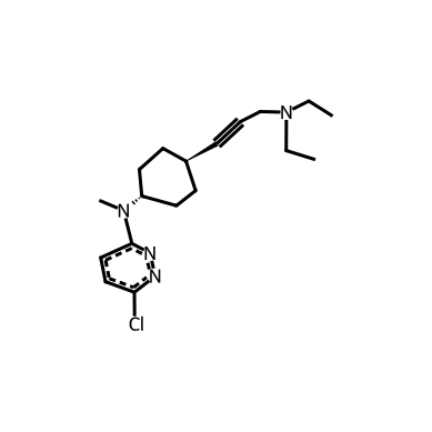 CCN(CC)CC#C[C@H]1CC[C@H](N(C)c2ccc(Cl)nn2)CC1